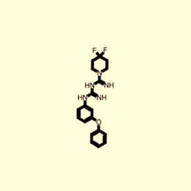 N=C(NC(=N)N1CCC(F)(F)CC1)Nc1cccc(Oc2ccccc2)c1